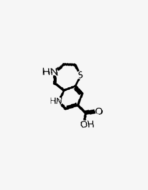 O=C(O)C1=CNC2CNCCSC2=C1